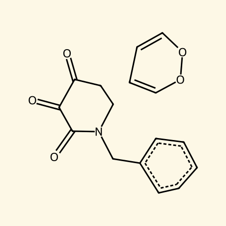 C1=COOC=C1.O=C1CCN(Cc2ccccc2)C(=O)C1=O